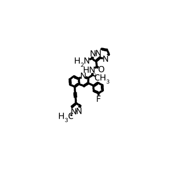 C[C@H](NC(=O)c1c(N)nn2cccnc12)c1nc2cccc(C#Cc3cnn(C)c3)c2cc1-c1cccc(F)c1